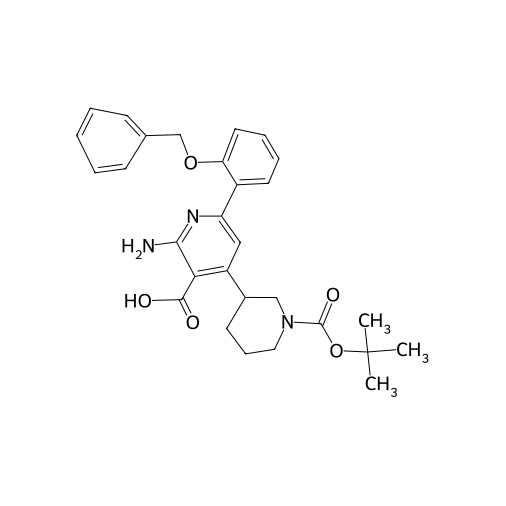 CC(C)(C)OC(=O)N1CCCC(c2cc(-c3ccccc3OCc3ccccc3)nc(N)c2C(=O)O)C1